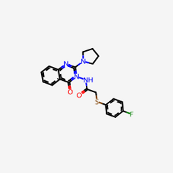 O=C(CSc1ccc(F)cc1)Nn1c(N2CCCC2)nc2ccccc2c1=O